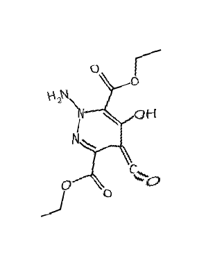 CCOC(=O)C1=NN(N)C(C(=O)OCC)=C(O)C1=C=O